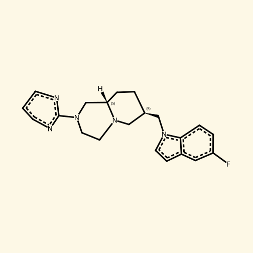 Fc1ccc2c(ccn2C[C@@H]2CC[C@H]3CN(c4ncccn4)CCN3C2)c1